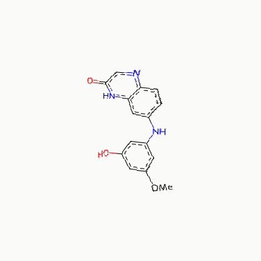 COc1cc(O)cc(Nc2ccc3ncc(=O)[nH]c3c2)c1